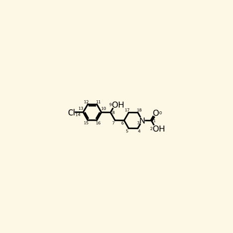 O=C(O)N1CCC(CC(O)c2ccc(Cl)cc2)CC1